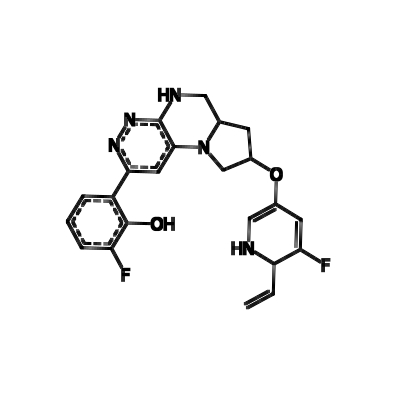 C=CC1NC=C(OC2CC3CNc4nnc(-c5cccc(F)c5O)cc4N3C2)C=C1F